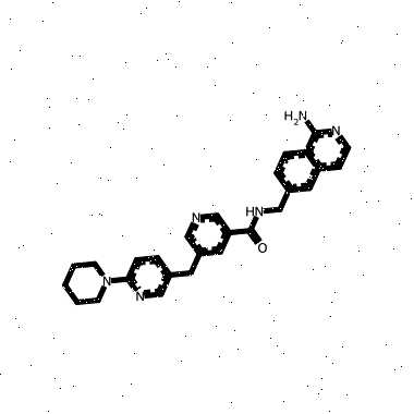 Nc1nccc2cc(CNC(=O)c3cncc(Cc4ccc(N5CCCCC5)nc4)c3)ccc12